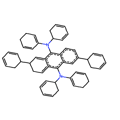 C1=CCC(c2ccc3c(N(C4=CCCC=C4)C4C=CC=CC4)c4c(c(N(C5=CCCC=C5)C5C=CC=CC5)c3c2)=CCC(C2C=CC=CC2)C=4)C=C1